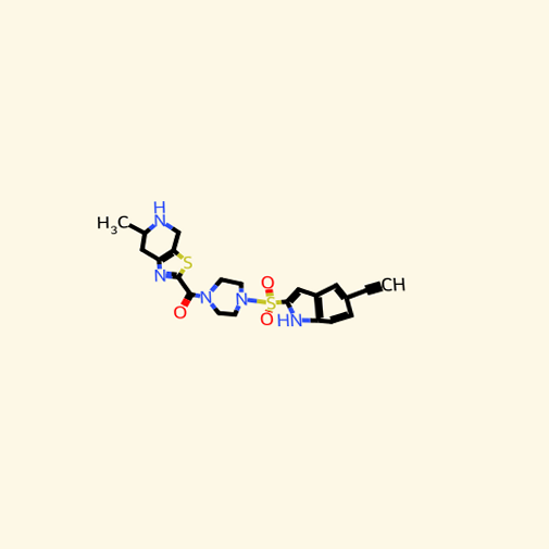 C#Cc1ccc2[nH]c(S(=O)(=O)N3CCN(C(=O)c4nc5c(s4)CNC(C)C5)CC3)cc2c1